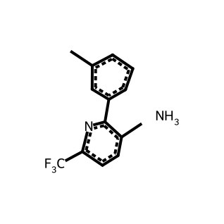 Cc1cccc(-c2nc(C(F)(F)F)ccc2C)c1.N